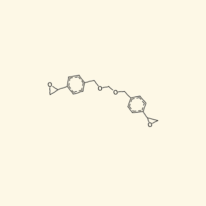 c1cc(C2CO2)ccc1COCOCc1ccc(C2CO2)cc1